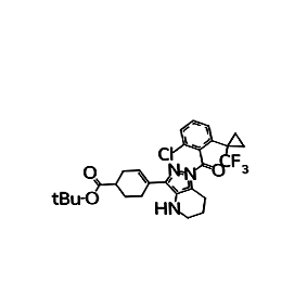 CC(C)(C)OC(=O)C1CC=C(c2nn(C(=O)c3c(Cl)cccc3C3(C(F)(F)F)CC3)c3c2NCCC3)CC1